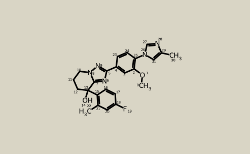 COc1cc(-c2nc3n(n2)CCCC3(O)c2ccc(F)cc2C)ccc1-n1cnc(C)c1